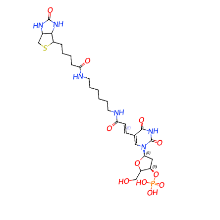 O=C(/C=C/c1cn([C@H]2C[C@@H](OP(=O)(O)O)C(CO)O2)c(=O)[nH]c1=O)NCCCCCCNC(=O)CCCCC1SCC2NC(=O)NC21